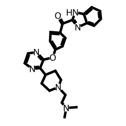 CN(C)CCN1CCC(c2nccnc2Oc2ccc(C(=O)c3nc4ccccc4[nH]3)cc2)CC1